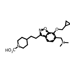 CN(C)Cc1ccc2c(CCC3CCN(C(=O)O)CC3)noc2c1OCC1CC1